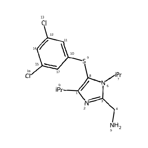 CC(C)c1nc(CN)n(C(C)C)c1Sc1cc(Cl)cc(Cl)c1